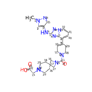 Cn1cc(Nc2nc3c(C4=CCN(C(=O)N5CC6(CCN(CC(=O)O)CC6)C5)CC4)cccn3n2)cn1